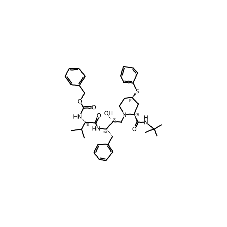 CC(C)[C@H](NC(=O)OCc1ccccc1)C(=O)N[C@@H](Cc1ccccc1)[C@H](O)CN1CC[C@@H](Sc2ccccc2)C[C@H]1C(=O)NC(C)(C)C